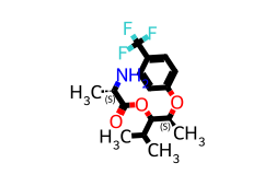 CC(C)C(OC(=O)[C@H](C)N)[C@H](C)Oc1ccc(C(F)(F)F)cc1